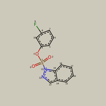 O=S(=O)(Oc1cccc(F)c1)n1ncc2c[c]ccc21